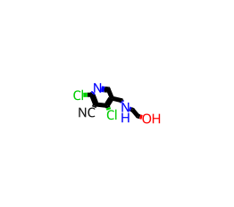 N#Cc1c(Cl)ncc(CNCCO)c1Cl